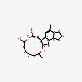 CCC1CCCCC(C)OC2=CC3C(C=C(C)C4CCCC43)C2CC(=O)O1